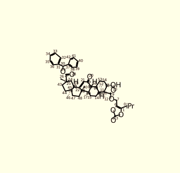 CC(C)c1oc(=O)oc1COC(=O)[C@@]1(C)[C@@H]2CC[C@]3(C)[C@H](C(=O)C=C4[C@@H]5C[C@@](C)(C(=O)OC(c6ccccc6)c6ccccc6)CC[C@]5(C)CC[C@]43C)[C@@]2(C)CC[C@@H]1O